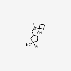 CC(C)C1(C#N)CCC(C[C@H](C)C2(C#N)CCC2)C1